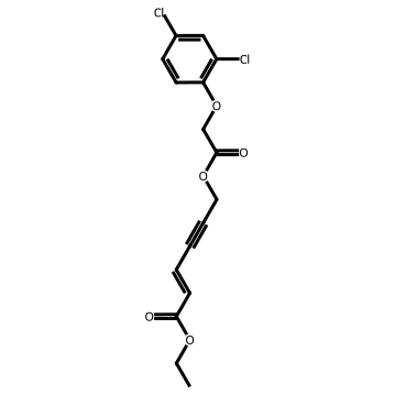 CCOC(=O)C=CC#CCOC(=O)COc1ccc(Cl)cc1Cl